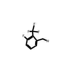 [N]Cc1cccc(F)c1C(F)(F)F